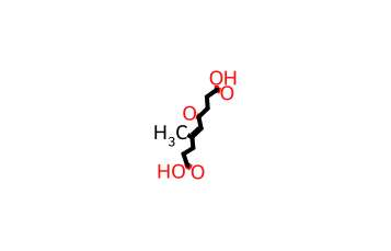 C/C(=C\C(=O)CCC(=O)O)CCC(=O)O